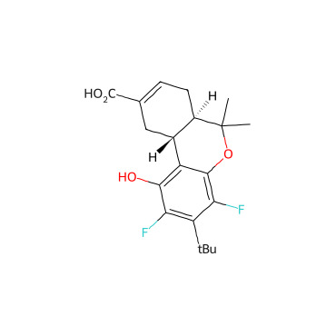 CC(C)(C)c1c(F)c(O)c2c(c1F)OC(C)(C)[C@@H]1CC=C(C(=O)O)C[C@@H]21